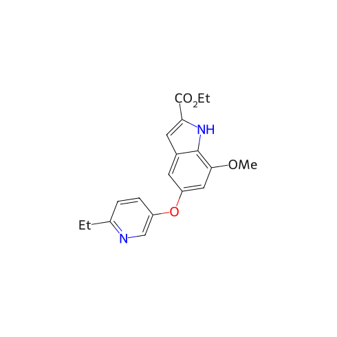 CCOC(=O)c1cc2cc(Oc3ccc(CC)nc3)cc(OC)c2[nH]1